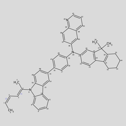 C/C=C\C=C(/C)n1c2ccccc2c2cc(-c3ccc(N(c4ccc5c(c4)C(C)(C)C4=C5CCCC4)c4ccc5ncccc5c4)cc3)ccc21